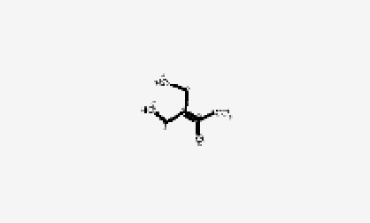 OCC(CO)=C(Cl)C(Cl)(Cl)Cl